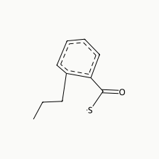 CCCc1ccccc1C(=O)[S]